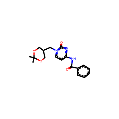 CC1(C)OCC(Cn2ccc(NC(=O)c3ccccc3)nc2=O)CO1